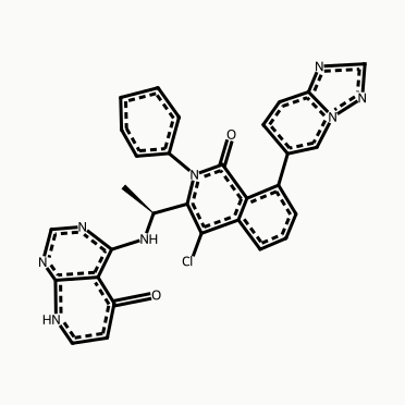 C[C@H](Nc1ncnc2[nH]ccc(=O)c12)c1c(Cl)c2cccc(-c3ccc4ncnn4c3)c2c(=O)n1-c1ccccc1